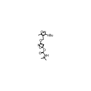 CCCCc1noc(C)c1COc1cc(OC(=O)NN(C)C)on1